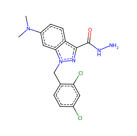 CN(C)c1ccc2c(C(=O)NN)nn(Cc3ccc(Cl)cc3Cl)c2c1